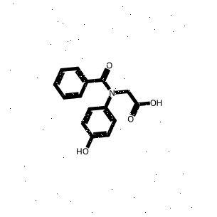 O=C(O)CN(C(=O)c1ccccc1)c1ccc(O)cc1